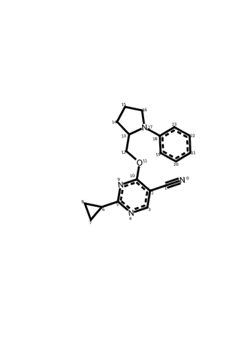 N#Cc1cnc(C2CC2)nc1OCC1CCCN1c1ccccc1